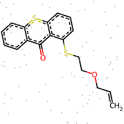 C=CCOCCSc1cccc2sc3ccccc3c(=O)c12